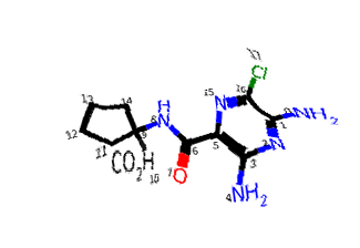 Nc1nc(N)c(C(=O)NC2(C(=O)O)CCCC2)nc1Cl